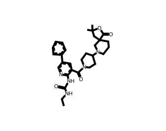 CCNC(=O)Nc1ncc(-c2ccccc2)cc1C(=O)N1CCC(N2CCCC3(C2)CC(C)(C)OC3=O)CC1